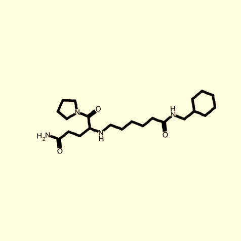 NC(=O)CCC(NCCCCCC(=O)NCC1CCCCC1)C(=O)N1CCCC1